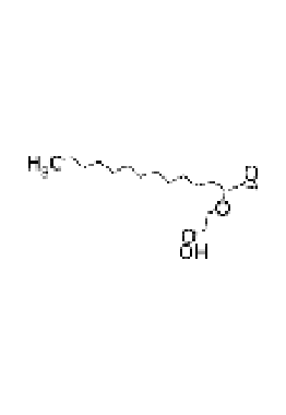 CCCCCCCCCCCCC(OCCOO)C1CO1